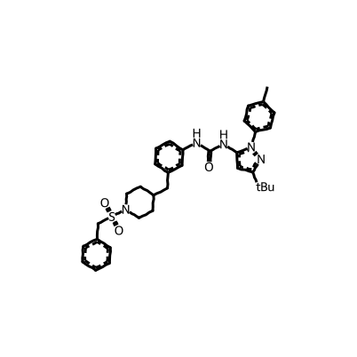 Cc1ccc(-n2nc(C(C)(C)C)cc2NC(=O)Nc2cccc(CC3CCN(S(=O)(=O)Cc4ccccc4)CC3)c2)cc1